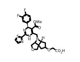 COC(=O)C1=C(CN2C3COCC34CC(OCC(=O)O)C[C@@H]24)NC(c2nccs2)=N[C@H]1c1ccc(F)c(F)c1